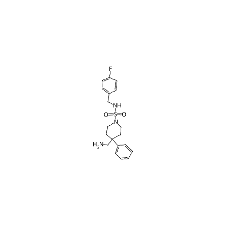 NCC1(c2ccccc2)CCN(S(=O)(=O)NCc2ccc(F)cc2)CC1